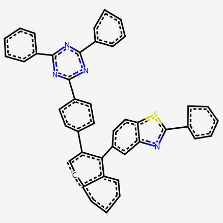 c1ccc(-c2nc(-c3ccccc3)nc(-c3ccc(-c4ccc5ccccc5c4-c4ccc5sc(-c6ccccc6)nc5c4)cc3)n2)cc1